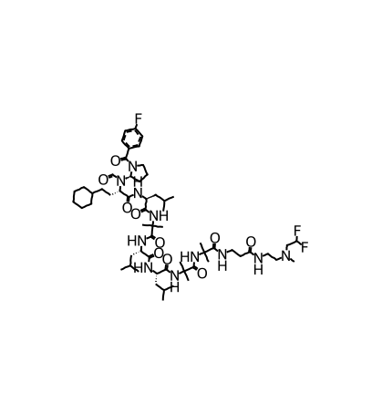 CC(C)C[C@H](NC(=O)[C@H](CC(C)C)NC(=O)C(C)(C)NC(=O)[C@H](CC(C)C)NC(=O)[C@H](CCC1CCCCC1)N(C=O)[C@@H]1CCCN1C(=O)c1ccc(F)cc1)C(=O)NC(C)(C)C(=O)NC(C)(C)C(=O)NCCC(=O)NCCN(C)CC(F)F